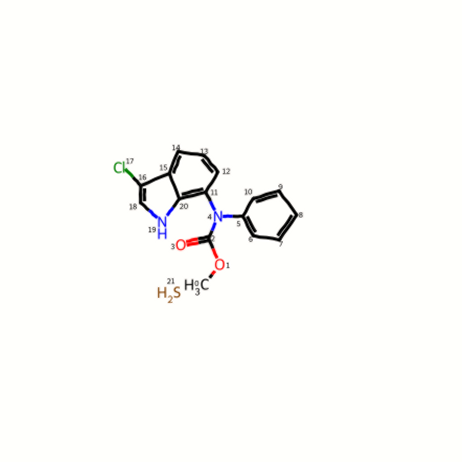 COC(=O)N(c1ccccc1)c1cccc2c(Cl)c[nH]c12.S